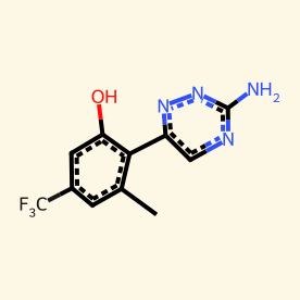 Cc1cc(C(F)(F)F)cc(O)c1-c1cnc(N)nn1